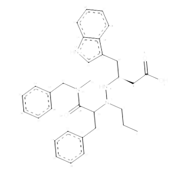 CCCN(N[C@H](CC(=O)O)Cc1c[nH]c2ccccc12)C(Cc1ccccc1)C(=O)N(C)Cc1ccccc1